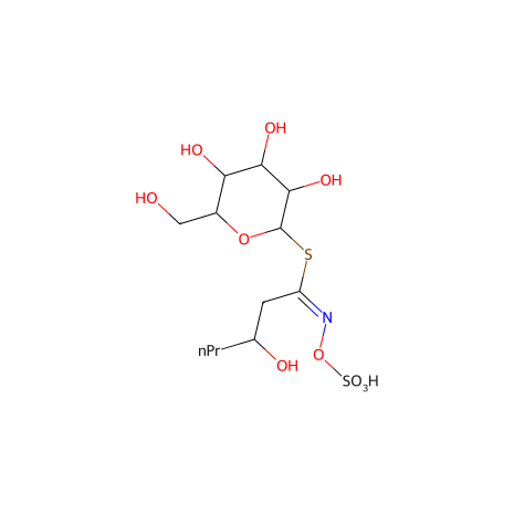 CCCC(O)C/C(=N\OS(=O)(=O)O)SC1OC(CO)C(O)C(O)C1O